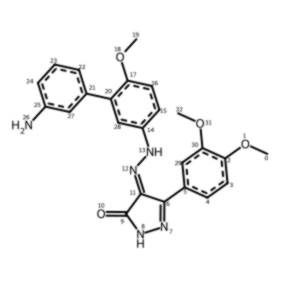 COc1ccc(C2=NNC(=O)/C2=N/Nc2ccc(OC)c(-c3cccc(N)c3)c2)cc1OC